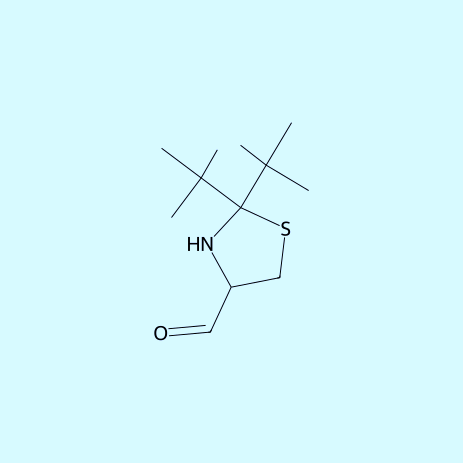 CC(C)(C)C1(C(C)(C)C)NC(C=O)CS1